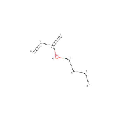 C=CC(=C)OCCCC